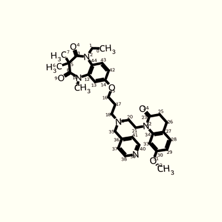 CCN1C(=O)C(C)(C)C(=O)N(C)c2cc(OCCCN(CCN3C(=O)CCc4ccc(OC)cc43)Cc3ccncc3)ccc21